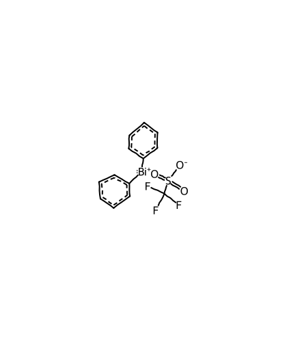 O=S(=O)([O-])C(F)(F)F.c1cc[c]([Bi+][c]2ccccc2)cc1